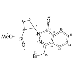 COC(=O)C1CCC1n1nc(CBr)c2ccccc2c1=O